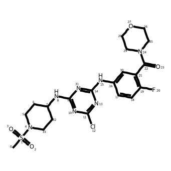 CS(=O)(=O)N1CCC(Nc2nc(Cl)nc(Nc3ccc(F)c(C(=O)N4CCOCC4)c3)n2)CC1